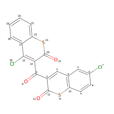 O=C(c1cc2cc(Cl)ccc2sc1=O)c1c(Cl)c2ccccc2sc1=O